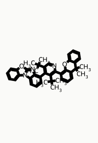 CC(C)(C)c1cnc(-c2cccc3c2Oc2ccccc2C3(C)C)c(C(C)(C)C)c1-c1cccc2c1nc1oc3ccccc3n12